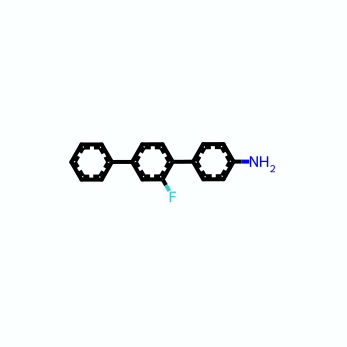 Nc1ccc(-c2ccc(-c3ccccc3)cc2F)cc1